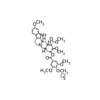 C1CSC1.COC(=O)[C@H]1[C@H]2C[C@@H]3c4[nH]c5cc(OC)ccc5c4CCN3C[C@H]2C[C@@H](OC(=O)c2cc(OC)c(OC)c(OC)c2)[C@@H]1OC